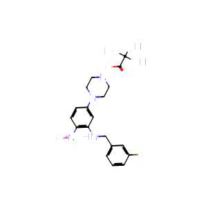 CC(C)(C)C(=O)ON1CCN(c2ccc([N+](=O)[O-])c(NCc3cccc(Br)c3)c2)CC1